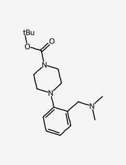 CN(C)Cc1ccccc1N1CCN(C(=O)OC(C)(C)C)CC1